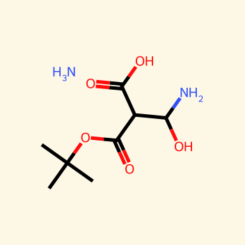 CC(C)(C)OC(=O)C(C(=O)O)C(N)O.N